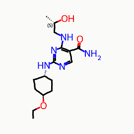 CCO[C@H]1CC[C@H](Nc2ncc(C(N)=O)c(NC[C@H](C)O)n2)CC1